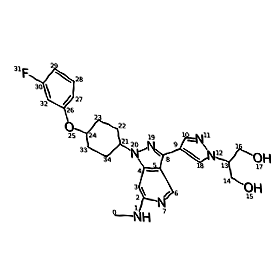 CNc1cc2c(cn1)c(-c1cnn(C(CO)CO)c1)nn2C1CCC(Oc2cccc(F)c2)CC1